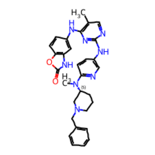 Cc1cnc(Nc2ccc(N(C)[C@H]3CCCN(Cc4ccccc4)C3)nc2)nc1Nc1ccc2oc(=O)[nH]c2c1